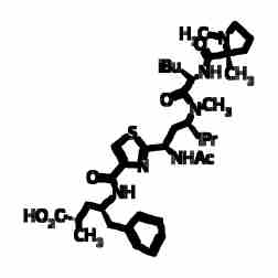 CC[C@H](C)[C@H](NC(=O)[C@@]1(C)CCCN1C)C(=O)N(C)[C@H](C[C@@H](NC(C)=O)c1nc(C(=O)N[C@@H](Cc2ccccc2)C[C@H](C)C(=O)O)cs1)C(C)C